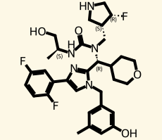 Cc1cc(O)cc(Cn2cc(-c3cc(F)ccc3F)nc2[C@@H](C2CCOCC2)N(C[C@@H]2CNC[C@@H]2F)C(=O)N[C@@H](C)CO)c1